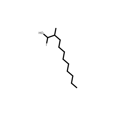 CCCCCCCCCC(C)C(O)I